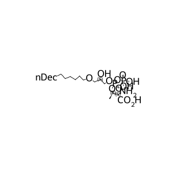 CCCCCCCCCCCCCCCCOC[C@H](O)COP(=O)(O[C@H](C)[C@H](N)C(=O)O)OP(=O)(O)O